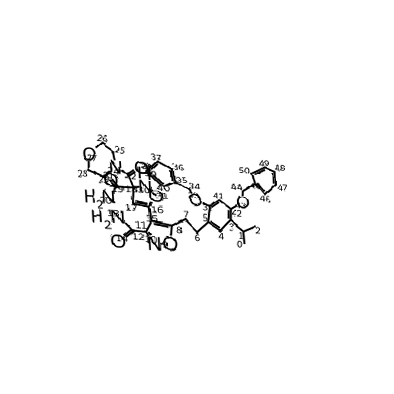 CC(C)c1cc(CCc2onc(C(N)=O)c2C2=CC(C(N)=O)(C(=O)N3CCOCC3)NO2)c(OCc2ccccc2)cc1OCc1ccccc1